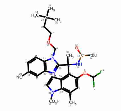 Cc1cc(OC(F)F)c(C(C)(N[S+]([O-])C(C)(C)C)c2nc3cc(C#N)ccc3n2COCC[Si](C)(C)C)c2ccn(C(=O)O)c12